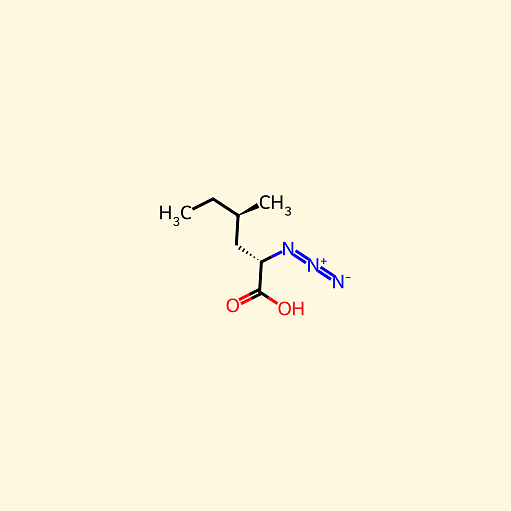 CC[C@@H](C)C[C@H](N=[N+]=[N-])C(=O)O